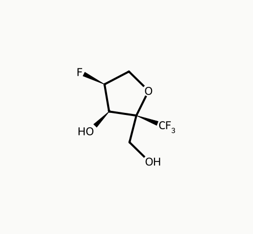 OC[C@@]1(C(F)(F)F)OC[C@H](F)[C@@H]1O